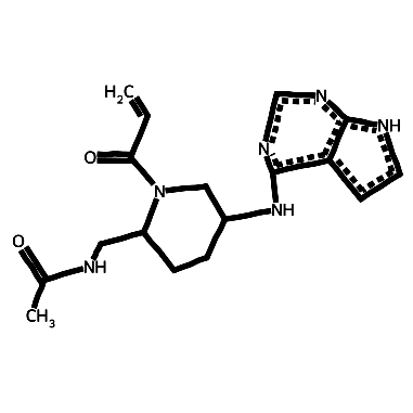 C=CC(=O)N1CC(Nc2ncnc3[nH]ccc23)CCC1CNC(C)=O